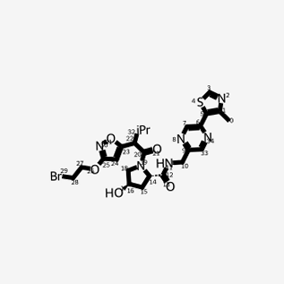 Cc1ncsc1-c1cnc(CNC(=O)[C@@H]2C[C@@H](O)CN2C(=O)C(c2cc(OCCBr)no2)C(C)C)cn1